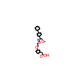 COC/C(=N\OCCOc1cccc(CC(=O)O)c1)c1ccc(-c2ccccc2)cc1